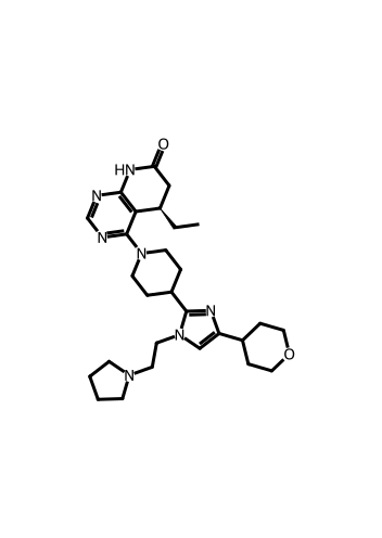 CC[C@@H]1CC(=O)Nc2ncnc(N3CCC(c4nc(C5CCOCC5)cn4CCN4CCCC4)CC3)c21